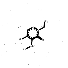 CC(C)Nc1c(Br)cnn(CC(F)(F)F)c1=O